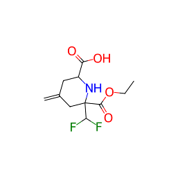 C=C1CC(C(=O)O)NC(C(=O)OCC)(C(F)F)C1